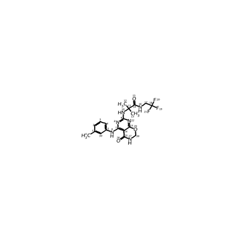 Cc1cccc(Nc2nc(NC(C)(C)C(=O)NCC(F)(F)F)nc3c2C(=O)NCO3)c1